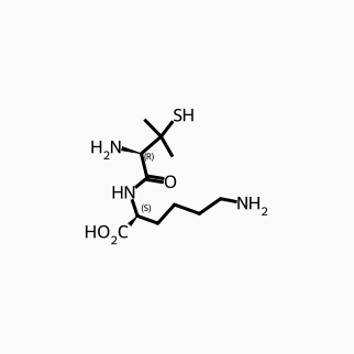 CC(C)(S)[C@H](N)C(=O)N[C@@H](CCCCN)C(=O)O